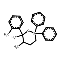 Cc1ccccc1C1(C)O[Si](c2ccccc2)(c2ccccc2)CCC1C